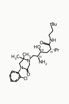 CC(C)[C@H](C[C@H](O)[C@@H](N)CN1CC(=O)N(c2ccccc2Cl)CC1(C)C)C(=O)NCCC(C)(C)C